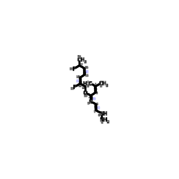 CC(C)=C/C(=N\C=C\NN)OC/C(F)=C\C=C/C(C)F